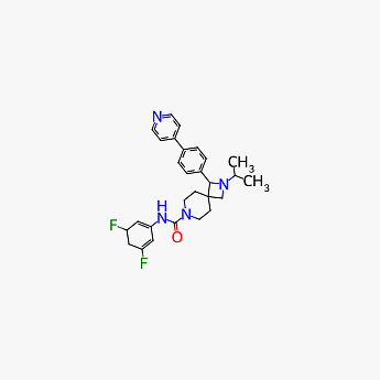 CC(C)N1CC2(CCN(C(=O)NC3=CC(F)CC(F)=C3)CC2)C1c1ccc(-c2ccncc2)cc1